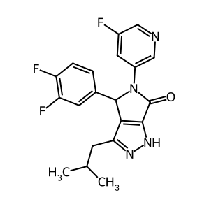 CC(C)Cc1n[nH]c2c1C(c1ccc(F)c(F)c1)N(c1cncc(F)c1)C2=O